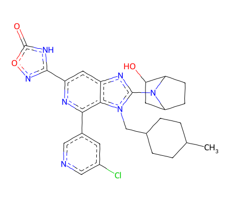 CC1CCC(Cn2c(N3C4CCC3C(O)C4)nc3cc(-c4noc(=O)[nH]4)nc(-c4cncc(Cl)c4)c32)CC1